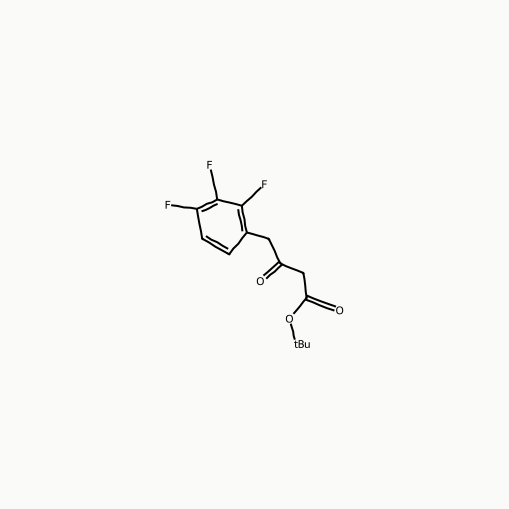 CC(C)(C)OC(=O)CC(=O)Cc1ccc(F)c(F)c1F